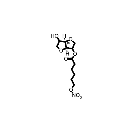 O=C(CCCCCO[N+](=O)[O-])OC1CO[C@@H]2C(O)CO[C@H]12